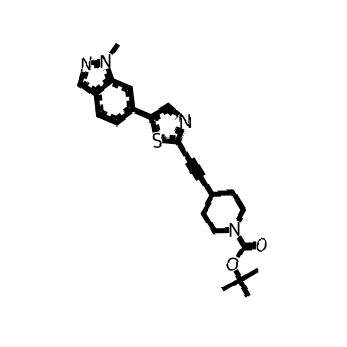 Cn1ncc2ccc(-c3cnc(C#CC4CCN(C(=O)OC(C)(C)C)CC4)s3)cc21